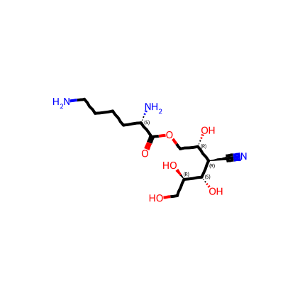 N#C[C@@H]([C@H](O)[C@H](O)CO)[C@@H](O)COC(=O)[C@@H](N)CCCCN